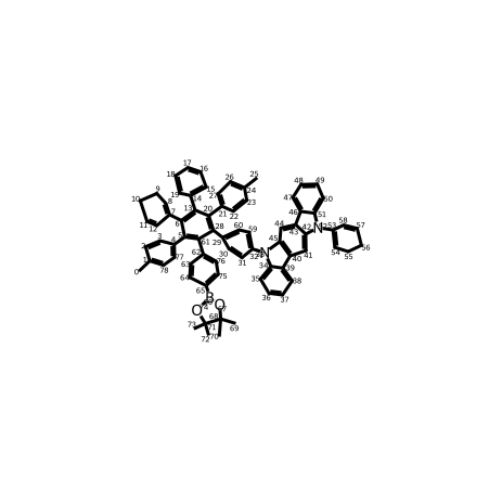 Cc1ccc(-c2c(C3=CCCC=C3)c(-c3ccccc3)c(-c3ccc(C)cc3)c(-c3ccc(-n4c5ccccc5c5cc6c(cc54)c4ccccc4n6C4=CCCC=C4)cc3)c2-c2ccc(B3OC(C)(C)C(C)(C)O3)cc2)cc1